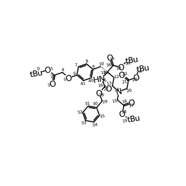 CC(C)(C)OC(=O)COc1ccc(C[C@](CCN(CC(=O)OC(C)(C)C)CC(=O)OC(C)(C)C)(NC(=O)OCc2ccccc2)C(=O)OC(C)(C)C)cc1